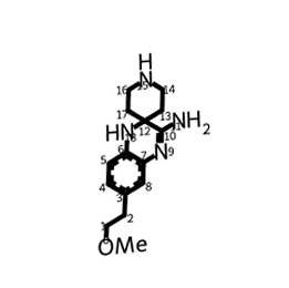 COCCc1ccc2c(c1)N=C(N)C1(CCNCC1)N2